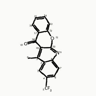 Cc1c2cc(C(F)(F)F)ccc2nc2oc3ccccc3c(=O)c12